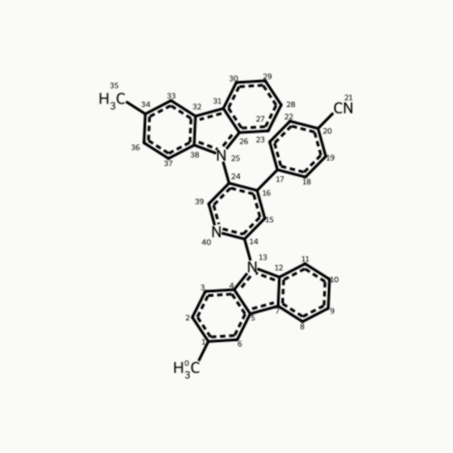 Cc1ccc2c(c1)c1ccccc1n2-c1cc(-c2ccc(C#N)cc2)c(-n2c3ccccc3c3cc(C)ccc32)cn1